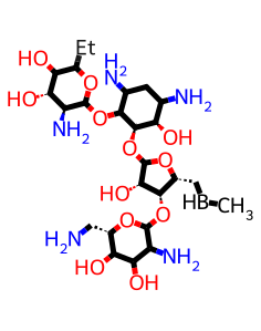 CBC[C@H]1OC(O[C@H]2C(OC3OC(CC)C(O)[C@@H](O)[C@@H]3N)C(N)CC(N)[C@H]2O)[C@@H](O)[C@H]1OC1O[C@@H](CN)C(O)C(O)C1N